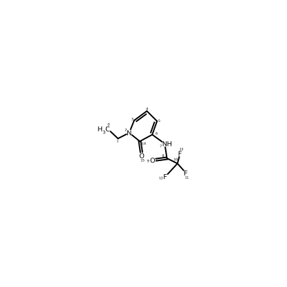 CCn1cccc(NC(=O)C(F)(F)F)c1=O